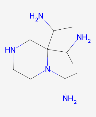 CC(N)N1CCNCC1(C(C)N)C(C)N